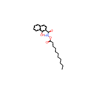 CCCCCCCCCCC(=O)ONC(=O)c1ccc2ccccc2c1O